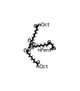 CCCCCCCCC1OC1CCCCCCCC(=O)OCC(COC(=O)CCCCCCCC1OC1CCCCCCCC)OC(=O)CCCCCCCC1OC1CC1OC1CCCCC